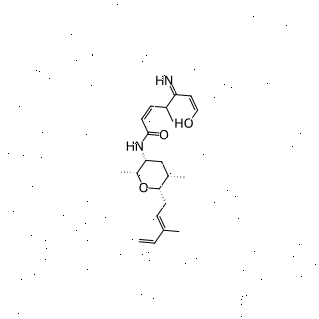 C=C/C(C)=C/C[C@@H]1O[C@H](C)[C@H](NC(=O)/C=C\C(C)C(=N)/C=C\O)C[C@@H]1C